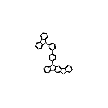 c1cc(-c2ccc(-n3c4ccccc4c4cc5sc6ccccc6c5cc43)cc2)cc(-n2c3ccccc3c3ccccc32)c1